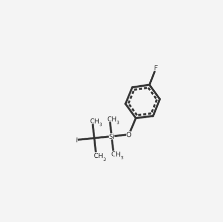 CC(C)(I)[Si](C)(C)Oc1ccc(F)cc1